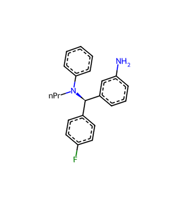 CCCN(c1ccccc1)[C@H](c1ccc(F)cc1)c1cccc(N)c1